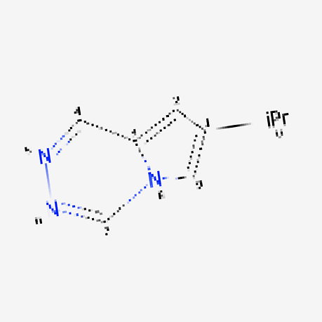 CC(C)c1cc2cnncn2c1